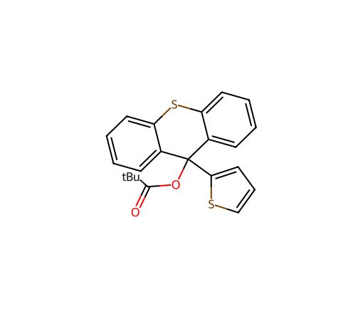 CC(C)(C)C(=O)OC1(c2cccs2)c2ccccc2Sc2ccccc21